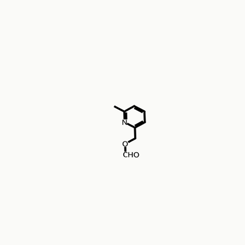 Cc1cccc(COC=O)n1